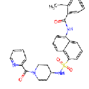 Cc1ccccc1C(=O)Nc1cccc2c(S(=O)(=O)NC3CCN(C(=O)c4ccccn4)CC3)cccc12